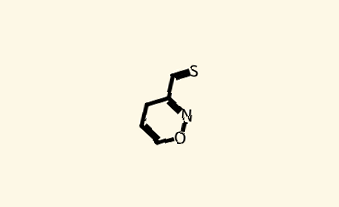 S=CC1=NOC=CC1